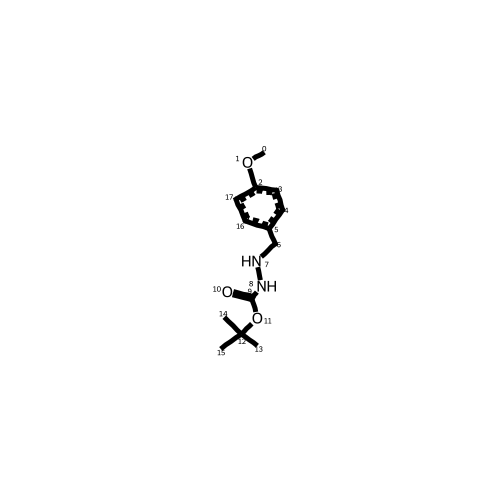 COc1ccc(CNNC(=O)OC(C)(C)C)cc1